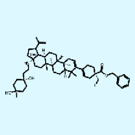 C=C(C)C1CC[C@]2(NCC[C@]3(O)CC[C@@](C)(O)CC3)CC[C@]3(C)[C@H](CC[C@@H]4[C@@]5(C)CC=C(C6=CC[C@](CF)(C(=O)OCc7ccccc7)CC6)C(C)(C)[C@@H]5CC[C@]43C)[C@@H]12